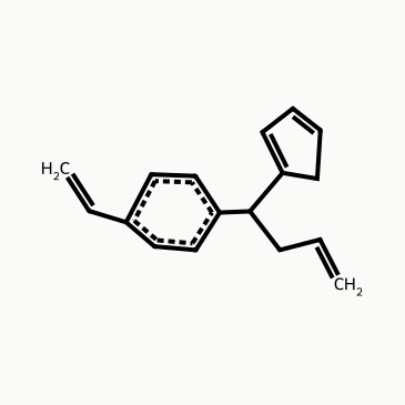 C=CCC(C1=CC=CC1)c1ccc(C=C)cc1